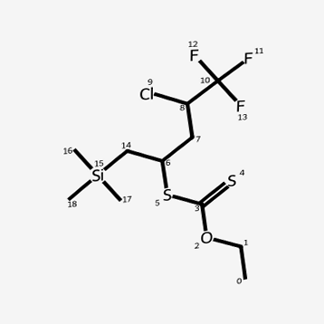 CCOC(=S)SC(CC(Cl)C(F)(F)F)C[Si](C)(C)C